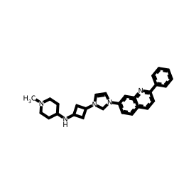 CN1CCC(NC2CC(N3C=CN(c4ccc5ccc(-c6ccccc6)nc5c4)C3)C2)CC1